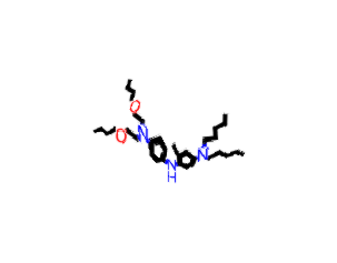 CCCCCN(CCCCC)c1ccc(Nc2ccc(N(CCOCCCC)CCOCCCC)cc2)c(C)c1